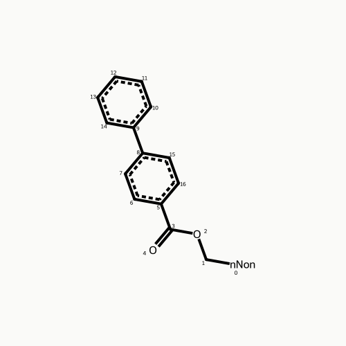 CCCCCCCCCCOC(=O)c1ccc(-c2ccccc2)cc1